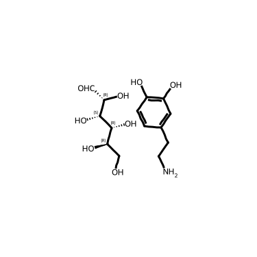 NCCc1ccc(O)c(O)c1.O=C[C@H](O)[C@@H](O)[C@H](O)[C@H](O)CO